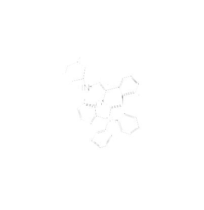 O=C1C([Si](c2ccccc2)(c2ccccc2)c2ccccc2)=Cc2ccccc2/C1=C/NC1CCCCC1